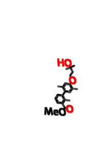 COC(=O)c1cccc(-c2cc(C)c(OCCC(C)(C)O)cc2C)c1C